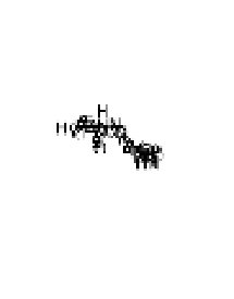 CN[C@@H](C)C(=O)N[C@H](C(=O)N1CCC[C@H]1c1nc(-c2ccc(OCCOCCN(C)C(=O)CCNc3nc(N4CCN(C(C)=O)CC4)c4cc(Cl)c(-c5cc(O)cc6ccccc56)c(F)c4n3)c3ccccc23)cs1)C1CCCCC1